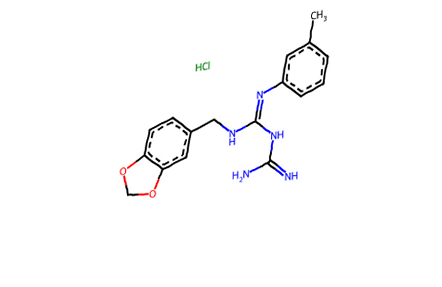 Cc1cccc(N=C(NCc2ccc3c(c2)OCO3)NC(=N)N)c1.Cl